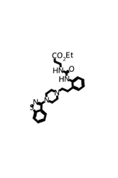 CCOC(=O)CCNC(=O)Nc1ccccc1CCN1CCN(c2nsc3ccccc23)CC1